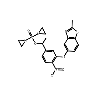 Cc1nc2cc(Oc3cc(C(C)OP(=O)(N4CC4)N4CC4)ccc3[N+](=O)[O-])ccc2s1